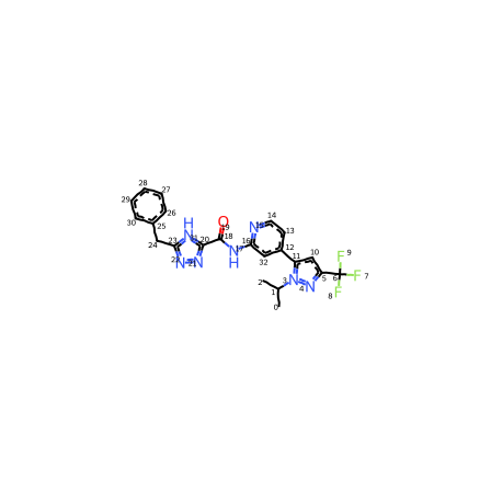 CC(C)n1nc(C(F)(F)F)cc1-c1ccnc(NC(=O)c2nnc(Cc3ccccc3)[nH]2)c1